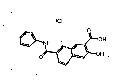 Cl.O=C(Nc1ccccc1)c1ccc2cc(O)c(C(=O)O)cc2c1